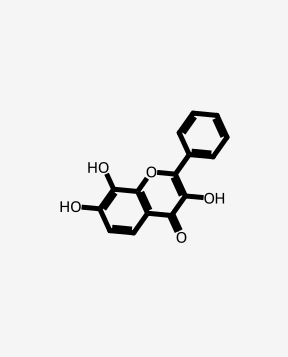 O=c1c(O)c(-c2ccccc2)oc2c(O)c(O)ccc12